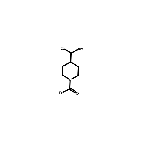 CCCC(CC)C1CCN(C(=O)C(C)C)CC1